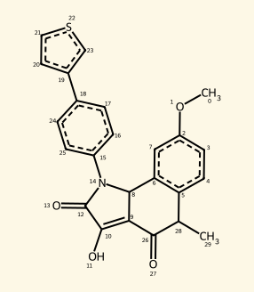 COc1ccc2c(c1)C1C(=C(O)C(=O)N1c1ccc(-c3ccsc3)cc1)C(=O)C2C